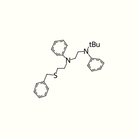 CC(C)(C)N(CCN(CCSCc1ccccc1)c1ccccc1)c1ccccc1